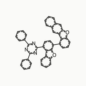 c1ccc(-c2nc(-c3ccccc3)nc(-c3ccc(-c4cccc5oc6cc7ccccc7cc6c45)c4oc5ccccc5c34)n2)cc1